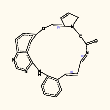 O=C1CN2CC=C/C2=C\Oc2ccc3ncnc(c3c2)Nc2ccccc2/C=C/C=N/1